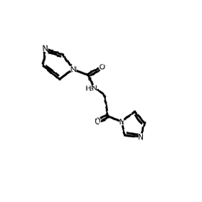 O=C(CNC(=O)n1ccnc1)n1ccnc1